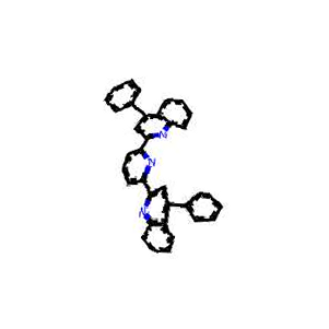 c1ccc(-c2cc(-c3cccc(-c4cc(-c5ccccc5)c5ccccc5n4)n3)nc3ccccc23)cc1